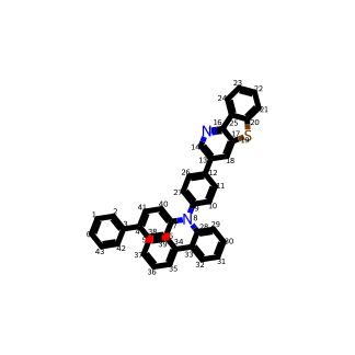 c1ccc(-c2ccc(N(c3ccc(-c4cnc5c(c4)sc4ccccc45)cc3)c3ccccc3-c3ccccc3)cc2)cc1